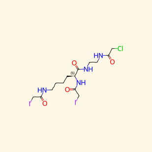 O=C(CCl)NCCNC(=O)[C@H](CCCCNC(=O)CI)NC(=O)CI